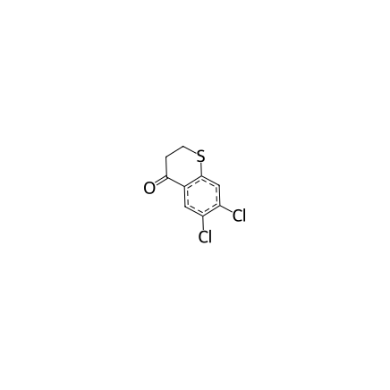 O=C1CCSc2cc(Cl)c(Cl)cc21